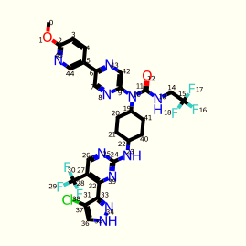 COc1ccc(-c2cnc(N(C(=O)NCC(F)(F)F)C3CCC(Nc4ncc(C(F)(F)F)c(-c5n[nH]cc5Cl)n4)CC3)cn2)cn1